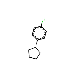 Clc1ccc([C@H]2C[CH]CC2)cc1